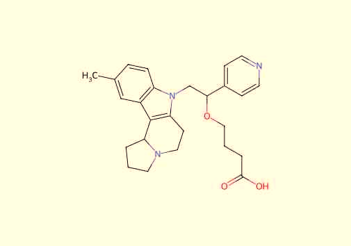 Cc1ccc2c(c1)c1c(n2CC(OCCCC(=O)O)c2ccncc2)CCN2CCCC12